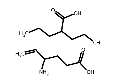 C=CC(N)CCC(=O)O.CCCC(CCC)C(=O)O